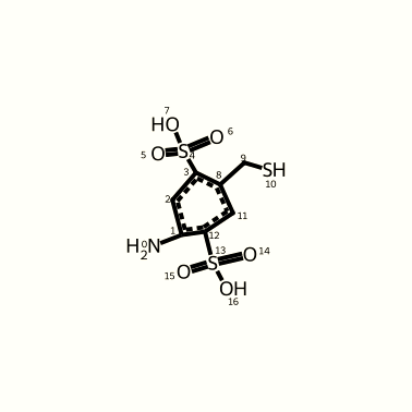 Nc1cc(S(=O)(=O)O)c(CS)cc1S(=O)(=O)O